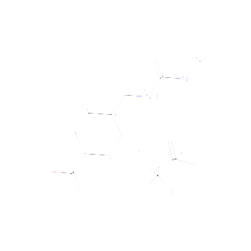 NNC(=O)NCC1CCC(C(=O)O)CC1.O=C(O)C(F)(F)F